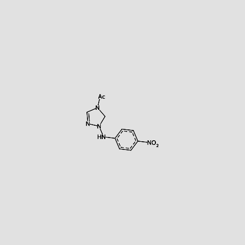 CC(=O)N1C=NN(Nc2ccc([N+](=O)[O-])cc2)C1